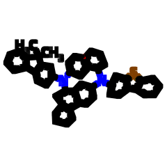 CC1(C)c2ccccc2-c2ccc(N(c3ccccc3)c3cc4ccccc4c4ccc(N(c5ccccc5)c5ccc6c(c5)sc5ccccc56)cc34)cc21